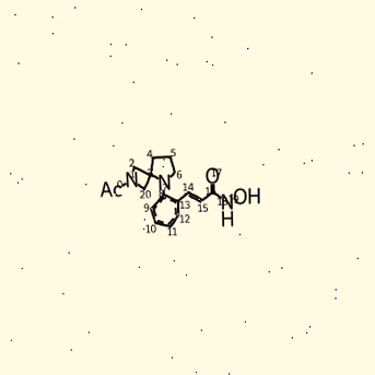 CC(=O)N1CC2(CCCN2c2ccccc2C=CC(=O)NO)C1